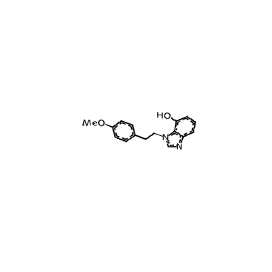 COc1ccc(CCn2cnc3cccc(O)c32)cc1